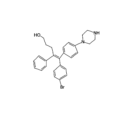 OCCCC(=C(c1ccc(Br)cc1)c1ccc(N2CCNCC2)cc1)c1ccccc1